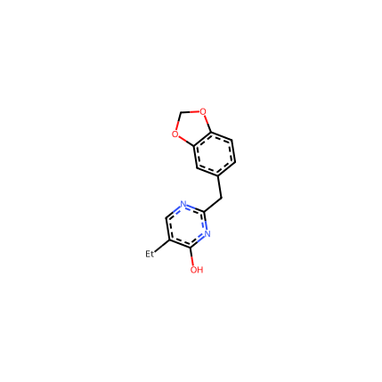 CCc1cnc(Cc2ccc3c(c2)OCO3)nc1O